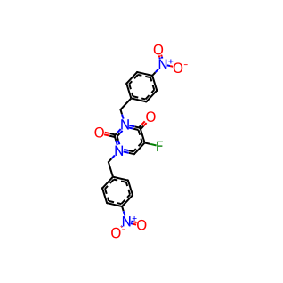 O=c1c(F)cn(Cc2ccc([N+](=O)[O-])cc2)c(=O)n1Cc1ccc([N+](=O)[O-])cc1